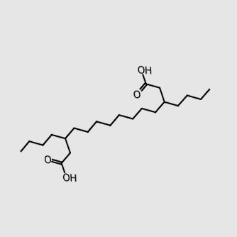 CCCCC(CCCCCCCCC(CCCC)CC(=O)O)CC(=O)O